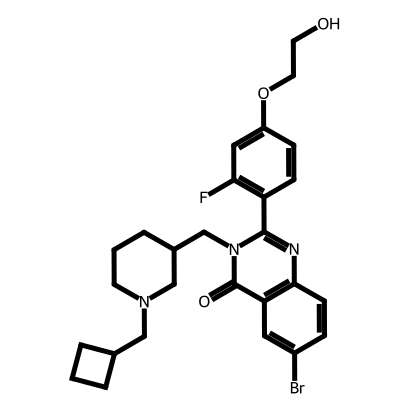 O=c1c2cc(Br)ccc2nc(-c2ccc(OCCO)cc2F)n1CC1CCCN(CC2CCC2)C1